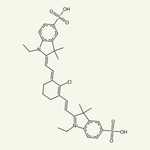 CCN1/C(=C/C=C2\CCCC(/C=C/C3=[N+](CC)c4ccc(S(=O)(=O)O)cc4C3(C)C)=C2Cl)C(C)(C)c2cc(S(=O)(=O)O)ccc21